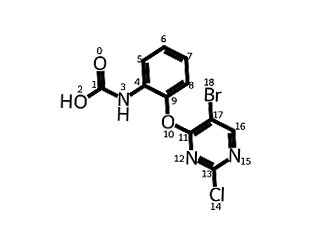 O=C(O)Nc1ccccc1Oc1nc(Cl)ncc1Br